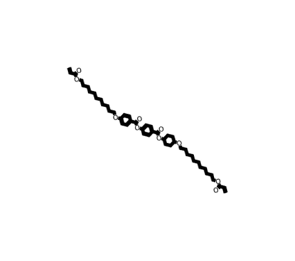 C=CC(=O)OCCCCCCCCCCCOc1ccc(C(=O)Oc2ccc(C(=O)OC3CCC(OCCCCCCCCCCCOC(=O)C=C)CC3)cc2)cc1